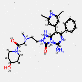 Cc1cc(-c2c(-c3ccccc3)nc(N)[n+]3c(=O)n(CCN(C)CC(=O)N4CCC(O)CC4)[nH]c23)cc(C)n1